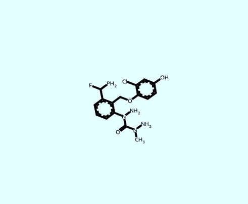 CN(N)C(=O)N(N)c1cccc(C(F)P)c1COc1ccc(O)cc1Cl